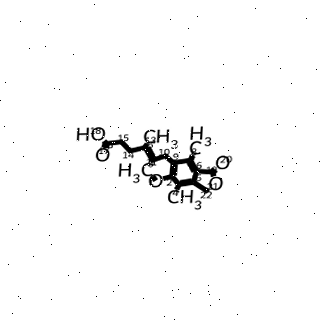 COc1c(C)c2c(c(C)c1C/C=C(\C)CCC(=O)O)C(=O)OC2